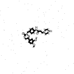 COc1ccc(C2=NN(Cc3ccc(NC(=O)CCN4CCNCC4)cc3)C(=O)SC2)cc1OC